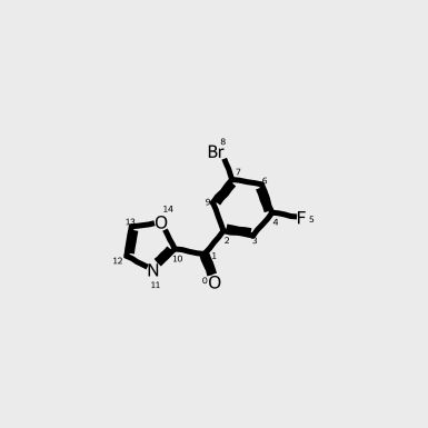 O=C(c1cc(F)cc(Br)c1)c1ncco1